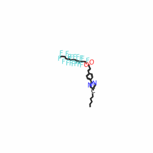 CCCCCCCc1cnc(-c2ccc(C=CC(=O)OC(F)C(F)(F)C(F)(F)C(F)(F)C(F)(F)C(F)(F)C(F)(F)C(F)C(F)C(F)F)cc2)nc1